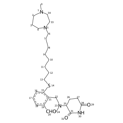 CN1CCCN(CCCCCCCCSc2cccc(C=O)c2CN(C)C2CCC(=O)NC2=O)CC1